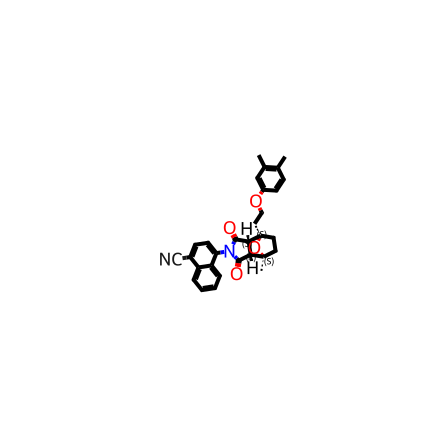 Cc1ccc(OCC[C@]23CC[C@](C)(O2)[C@@H]2C(=O)N(c4ccc(C#N)c5ccccc45)C(=O)[C@@H]23)cc1C